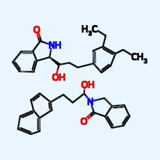 CCc1ccc(CCC(O)[C@@H]2NC(=O)c3ccccc32)cc1CC.O=C1c2ccccc2CN1C(O)CCc1ccc2ccccc2c1